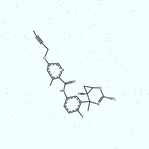 CC#CCOc1cnc(C(=O)Nc2ccc(F)c(C3(C)N=C(N)OC4C[C@H]43)c2)c(C)c1